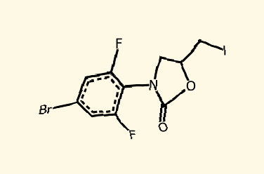 O=C1OC(CI)CN1c1c(F)cc(Br)cc1F